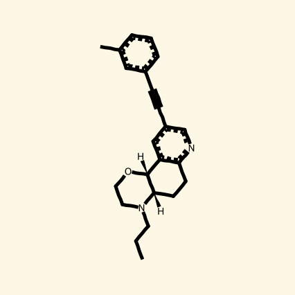 CCCN1CCO[C@@H]2c3cc(C#Cc4cccc(C)c4)cnc3CC[C@@H]21